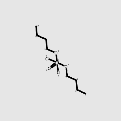 CCCC[O][Ti](=[O])([Cl])([Cl])[O]CCCC